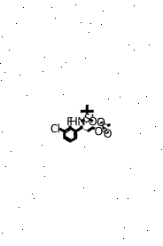 CC(C)(C)[S+]([O-])N[C@H](CCOS(C)(=O)=O)c1cccc(Cl)c1F